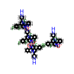 Cc1ccccc1-c1c2nc(C3CCNCC3)cc(-c3ccc(F)cc3F)c2cc[n+]1[O-].[O-][n+]1ccc2c(-c3ccc(F)cc3F)cc(C3CCNCC3)nc2c1-c1c(F)cccc1F.[O-][n+]1ccc2c(-c3ccc(F)cc3F)cc(C3CCNCC3)nc2c1-c1ccccc1Cl.[O-][n+]1ccc2c(-c3ccc(F)cc3F)cc(C3CCNCC3)nc2c1-c1ccccc1F